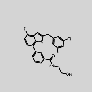 O=C(NCCO)c1cccc(-c2ccc(F)c3cc(Cc4cc(F)cc(Cl)c4)sc23)c1